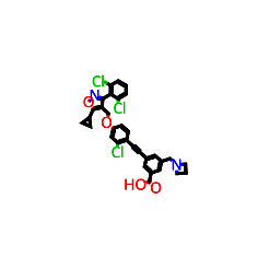 O=C(O)c1cc(C#Cc2ccc(OCc3c(-c4c(Cl)cccc4Cl)noc3C3CC3)cc2Cl)cc(CN2CCC2)c1